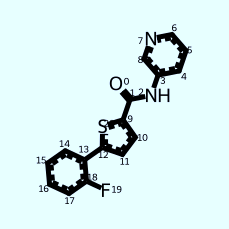 O=C(Nc1cccnc1)c1ccc(-c2ccccc2F)s1